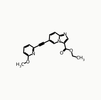 CCOC(=O)c1cnc2ccc(C#Cc3cccc(OC)n3)cn12